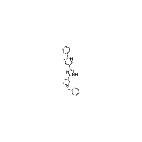 c1ccc(CN2CCC(c3nc(-c4cnc(-c5ccccc5)nc4)c[nH]3)C2)cc1